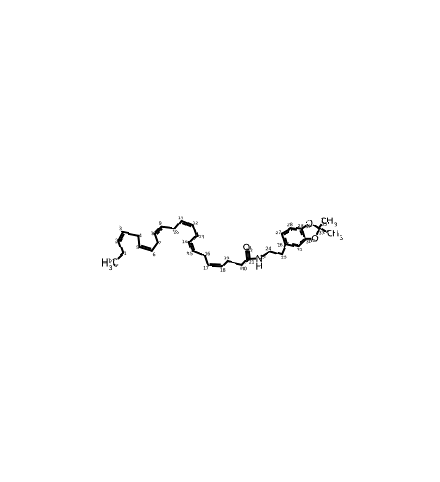 CC/C=C\C/C=C\C/C=C\C/C=C\C/C=C\C/C=C\CCC(=O)NCCc1ccc2c(c1)OC(C)(C)O2